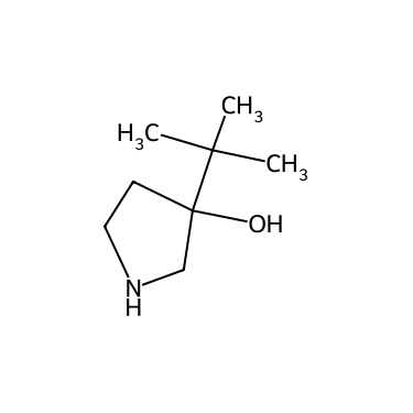 CC(C)(C)C1(O)CCNC1